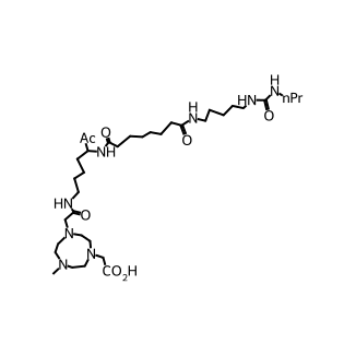 CCCNC(=O)NCCCCCNC(=O)CCCCCCC(=O)NC(CCCCNC(=O)CN1CCN(C)CCN(CC(=O)O)CC1)C(C)=O